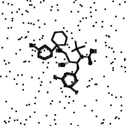 CC(C)(C)N(C(=O)O)[C@@H](Cc1cc(F)cc(F)c1)[C@H](O)CNC1(c2cccc(Br)c2)CCCCC1